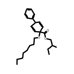 CCCCCCCCOC1(C(=O)OCC(C)CC)C=CC(c2ccccc2)C=C1